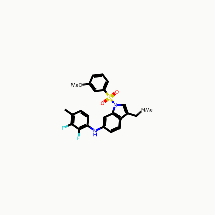 CNCc1cn(S(=O)(=O)c2cccc(OC)c2)c2cc(Nc3ccc(C)c(F)c3F)ccc12